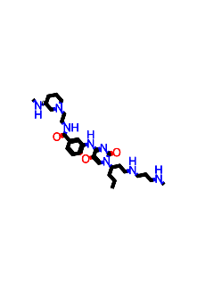 CCCC(CCNCCCNC)n1cc2c(nc1=O)Nc1cc(C(=O)NCCN3CCC[C@H](NC)C3)ccc1O2